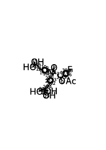 CC(=O)O[C@@H](CC[C@H]1C(=O)N(c2ccc(CCC(O)O)cc2)[C@@H]1c1ccc(CCC(O)(CO)CO)cc1)c1ccc(F)cc1